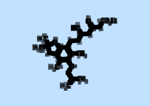 C=C(C)COc1c(C)c(CCC(O)CC(=O)CC(=O)OCC)c2c(c1C)CC(C)(C)O2